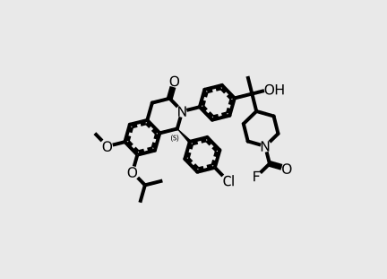 COc1cc2c(cc1OC(C)C)[C@H](c1ccc(Cl)cc1)N(c1ccc(C(C)(O)C3CCN(C(=O)F)CC3)cc1)C(=O)C2